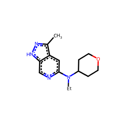 CCN(c1cc2c(C)n[nH]c2cn1)C1CCOCC1